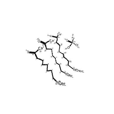 CCCCCCCCCCCCCCCCC[C](=O)[Ca+].CCCCCCCCCCCCCCCCC[C](=O)[Ca+].CCCCCCCCCCCCCCCCC[C](=O)[Ca+].O=P([O-])([O-])[O-]